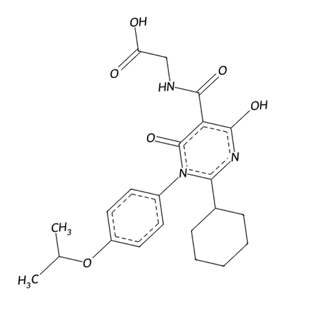 CC(C)Oc1ccc(-n2c(C3CCCCC3)nc(O)c(C(=O)NCC(=O)O)c2=O)cc1